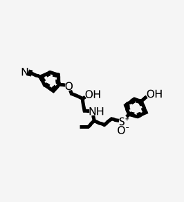 CCC(CC[S+]([O-])c1ccc(O)cc1)NCC(O)COc1ccc(C#N)cc1